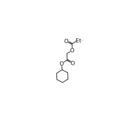 C[CH]C(=O)OCC(=O)OC1CCCCC1